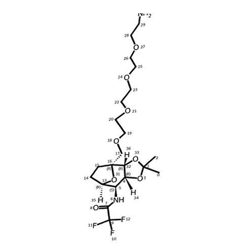 CC1(C)O[C@@H]2[C@@H](NC(=O)C(F)(F)F)[C@H]3CC[C@](COCCOCCOCCOCCN)(O3)[C@@H]2O1